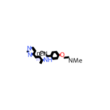 C=C(NC(CCC)c1ccc(OCCNC)cc1)/C(C#N)=C/c1ccncn1